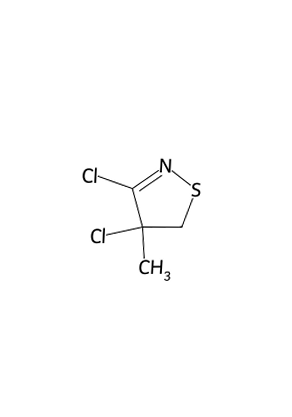 CC1(Cl)CSN=C1Cl